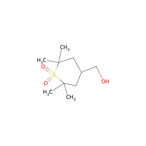 CC1(C)CC(CO)CC(C)(C)S1(=O)=O